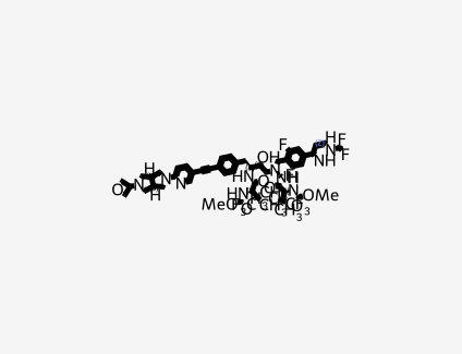 COC(=O)N[C@H](C(=O)N[C@@H](Cc1ccc(C#Cc2ccc(N3C[C@@H]4CN(C5COC5)C[C@@H]4C3)nc2)cc1)[C@@H](O)CN(Cc1c(F)cc(C(=N)/C=C\NC(F)F)cc1F)NC(=O)[C@@H](NC(=O)OC)C(C)(C)C(F)(F)F)C(C)(C)C(F)(F)F